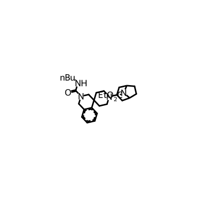 CCCCNC(=O)N1Cc2ccccc2C2(CCN(C3CC4CCC(C3)N4C(=O)OCC)CC2)C1